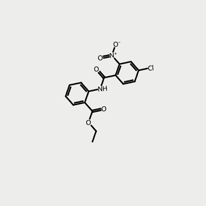 CCOC(=O)c1ccccc1NC(=O)c1ccc(Cl)cc1[N+](=O)[O-]